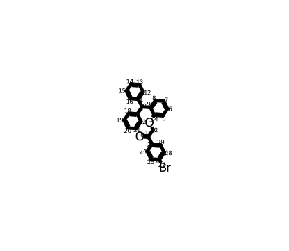 O=C(COc1ccccc1[C](c1ccccc1)c1ccccc1)c1ccc(Br)cc1